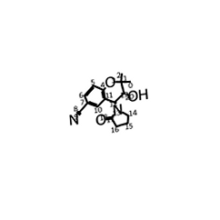 CC1(C)Oc2ccc(C#N)cc2[C@@H](N2CCCC2=O)[C@H]1O